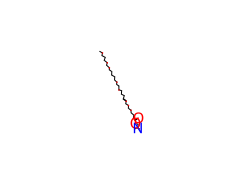 CCCCCCCCCCCCCCCCCCCCC=CCCCCCCCC(=O)OCN(C)C